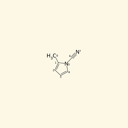 Cc1cccn1C#N